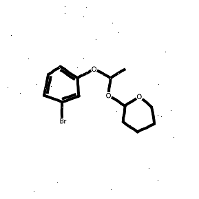 CC(Oc1cccc(Br)c1)OC1CCCCO1